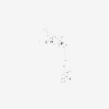 CCCC(=O)NC(CC(=O)O)C(=O)NC(CCCNC(=N)N)C(=O)NC(CC(=O)O)C(=O)NC(CC=O)C(=O)NC(CSSCCOC(=O)OCC(=O)CCC1C2CCC3=CC(=O)C=CC3(C)C2C(O)CC1(C)O)C(=O)O